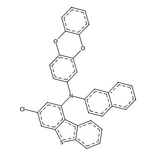 Clc1cc(N(c2ccc3c(c2)Oc2ccccc2O3)c2ccc3ccccc3c2)c2c(c1)sc1ccccc12